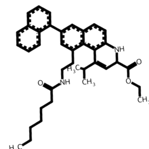 CCCCCCC(=O)NCCc1cc(-c2cccc3ccccc23)cc2ccc3c(c12)C(C(C)C)=CC(C(=O)OCC)N3